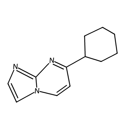 c1cn2ccc(C3CCCCC3)nc2n1